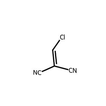 N#CC(C#N)=CCl